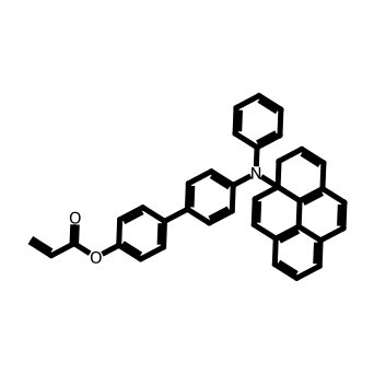 C=CC(=O)Oc1ccc(-c2ccc(N(c3ccccc3)C34C=Cc5cccc6ccc(c3c56)C=CC4)cc2)cc1